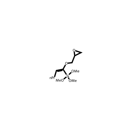 CCCC=C(OCC1CO1)[Si](OC)(OC)OC